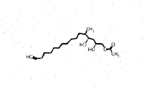 C#CCCCCCCCCCCC(C)[C@H](O)C[C@H](O)COC(C)=O